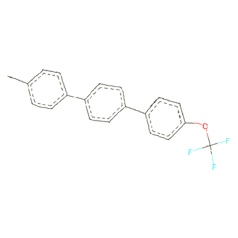 Cc1ccc(-c2ccc(-c3ccc(OC(F)(F)F)cc3)cc2)cc1